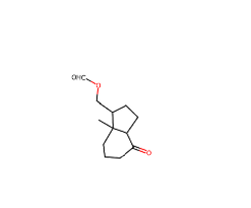 CC12CCCC(=O)C1CCC2COC=O